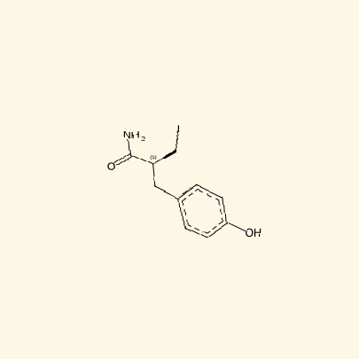 NC(=O)[C@@H](CI)Cc1ccc(O)cc1